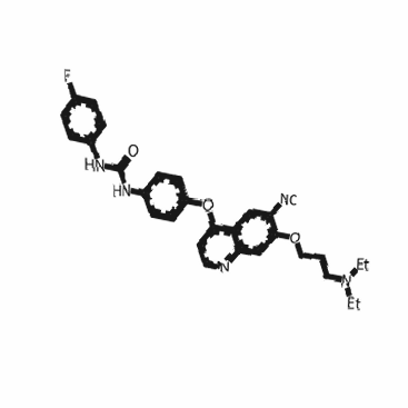 [C-]#[N+]c1cc2c(Oc3ccc(NC(=O)Nc4ccc(F)cc4)cc3)ccnc2cc1OCCCN(CC)CC